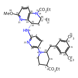 CCOC(=O)C1CCN(c2ccc(N[C@H]3C[C@@H](CC)N(C(=O)OCC)c4ccc(OC)nc43)nc2)C(Cc2cc(C(F)(F)F)cc(C(F)(F)F)c2)C1